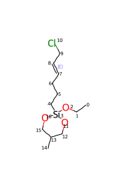 CCO[Si]1(CCC/C=C/CCl)OCC(C)CO1